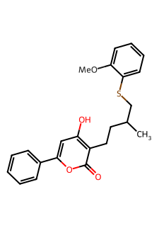 COc1ccccc1SCC(C)CCc1c(O)cc(-c2ccccc2)oc1=O